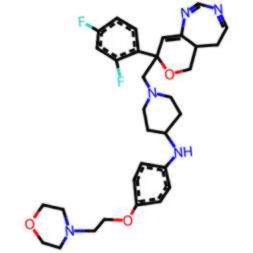 Fc1ccc(C2(CN3CCC(Nc4ccc(OCCN5CCOCC5)cc4)CC3)C=C3N=CN=CCC3CO2)c(F)c1